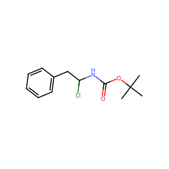 CC(C)(C)OC(=O)NC(Cl)Cc1ccccc1